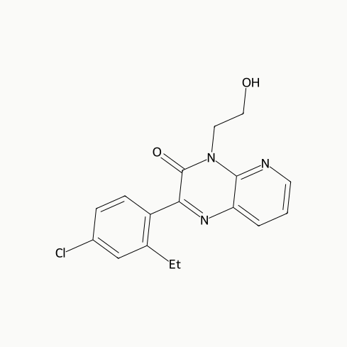 CCc1cc(Cl)ccc1-c1nc2cccnc2n(CCO)c1=O